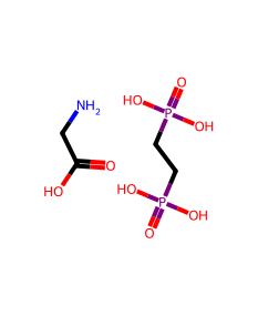 NCC(=O)O.O=P(O)(O)CCP(=O)(O)O